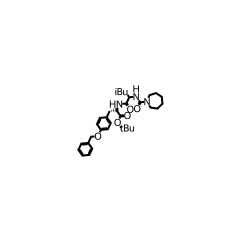 CCC(C)C(NC(=O)N1CCCCCC1)C(=O)N[C@@H](Cc1ccc(OCc2ccccc2)cc1)C(=O)OC(C)(C)C